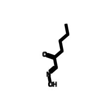 CCCCC(=O)C=NO